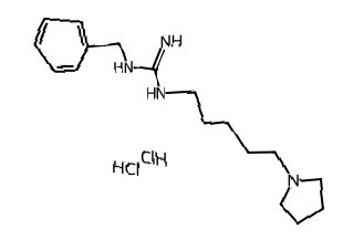 Cl.Cl.N=C(NCCCCCN1CCCC1)NCc1ccccc1